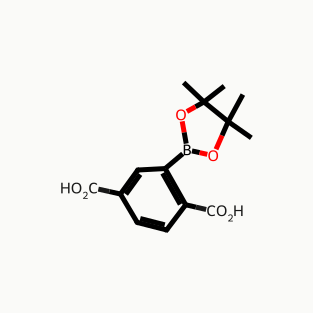 CC1(C)OB(c2cc(C(=O)O)ccc2C(=O)O)OC1(C)C